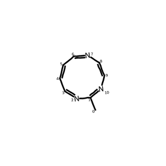 Cc1nccccnccn1